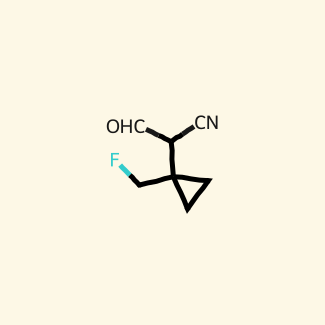 N#CC(C=O)C1(CF)CC1